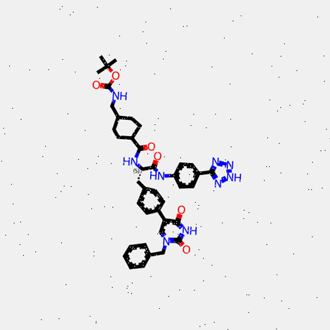 CC(C)(C)OC(=O)NCC1CCC(C(=O)N[C@@H](Cc2ccc(-c3cn(Cc4ccccc4)c(=O)[nH]c3=O)cc2)C(=O)Nc2ccc(-c3nn[nH]n3)cc2)CC1